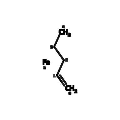 C=CCCC.[Fe]